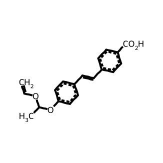 C=COC(C)Oc1ccc(/C=C/c2ccc(C(=O)O)cc2)cc1